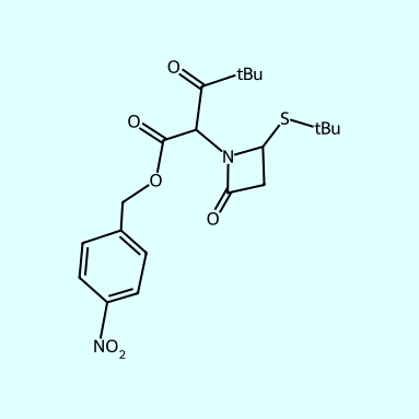 CC(C)(C)SC1CC(=O)N1C(C(=O)OCc1ccc([N+](=O)[O-])cc1)C(=O)C(C)(C)C